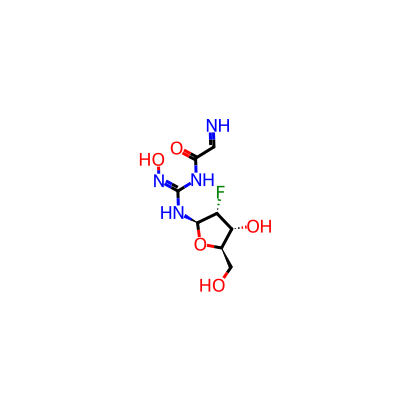 N=CC(=O)N/C(=N\O)N[C@@H]1O[C@H](CO)[C@@H](O)[C@H]1F